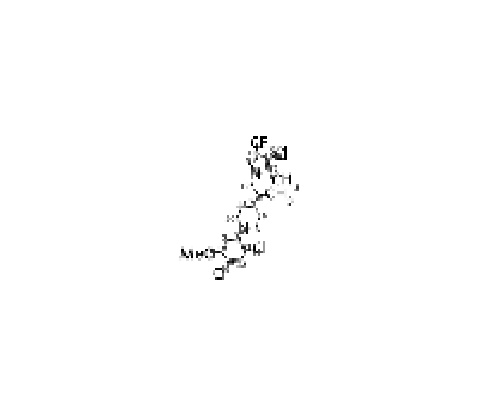 COc1cc(N2CCC(C(C)Cn3nc(C(F)(F)F)c(Cl)c3C)CC2)c(Cl)cc1Cl